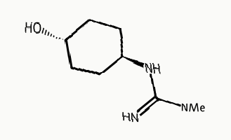 CNC(=N)N[C@H]1CC[C@H](O)CC1